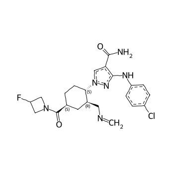 C=NC[C@H]1C[C@@H](C(=O)N2CC(F)C2)CC[C@@H]1n1cc(C(N)=O)c(Nc2ccc(Cl)cc2)n1